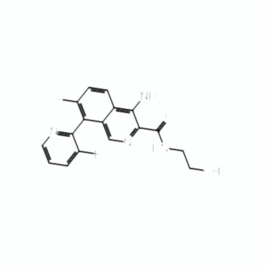 CCCNC(=O)c1ncc2c(-c3ncccc3F)c(F)ccc2c1N